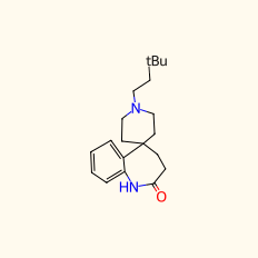 CC(C)(C)CCN1CCC2(CCC(=O)Nc3ccccc32)CC1